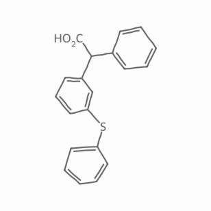 O=C(O)C(c1ccccc1)c1cccc(Sc2ccccc2)c1